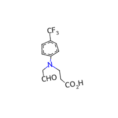 O=CCN(CCC(=O)O)c1ccc(C(F)(F)F)cc1